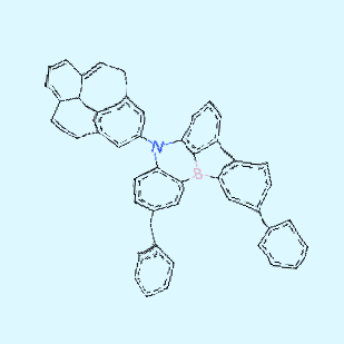 C1=CC2=CCc3cc(N4c5ccc(-c6ccccc6)cc5B5c6cc(-c7ccccc7)ccc6-c6cccc4c65)cc4c3C2C(=C1)C=C4